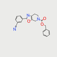 N#Cc1cccc(-c2nc3c(o2)CN(C(=O)OCc2ccccc2)CC3)c1